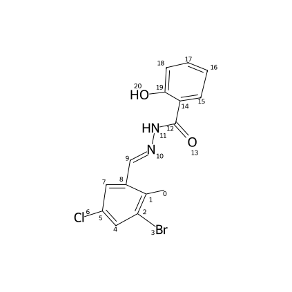 Cc1c(Br)cc(Cl)cc1/C=N/NC(=O)c1ccccc1O